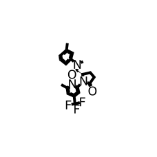 Cc1cccc(N(C)C(=O)[C@@H]2CCC(=O)N2c2cc(C(F)(F)F)cc(C)n2)c1